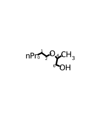 CCCCCOC(C)CO